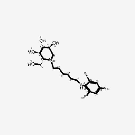 OC[C@@H]1[C@@H](O)[C@H](O)[C@@H](O)CN1CCCCCCNc1c(F)cc(F)cc1F